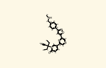 CCC(C#N)(CC)n1cc(-c2cncc(-c3cc(-c4ccc(CNC)cc4)no3)n2)ccc1=O